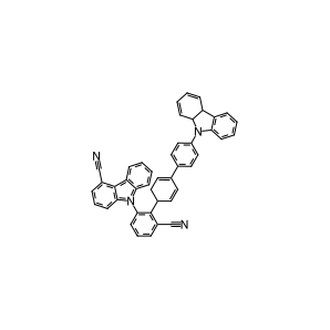 N#Cc1cccc(-n2c3ccccc3c3c(C#N)cccc32)c1C1C=CC(c2ccc(N3c4ccccc4C4C=CC=CC43)cc2)=CC1